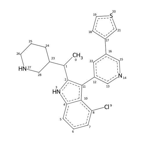 CC(c1[nH]c2cccc(Cl)c2c1-c1cncc(-c2ccsc2)c1)C1CCCNC1